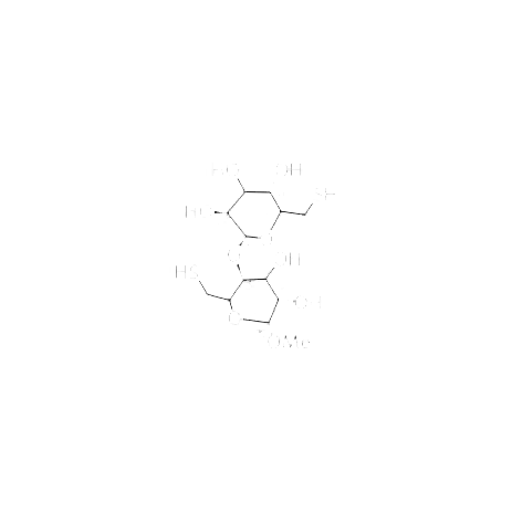 CO[C@@H]1OC(CS)[C@@H](O[C@@H]2OC(CS)[C@@H](O)C(O)[C@@H]2O)C(O)[C@@H]1O